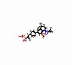 COc1cc(C2=CCC(/C=C(\C)C(=O)O)C=C2)cc2c1C(N(C)C1CC1)CCC2(C)C